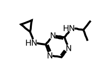 CC(C)Nc1ncnc(NC2CC2)n1